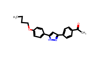 CCCCOc1ccc(-c2cc(-c3ccc(C(C)=O)cc3)n[nH]2)cc1